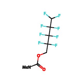 CNC(=O)OCC(F)(F)C(F)(F)C(F)(F)C(F)F